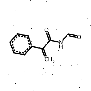 C=C(C(=O)NC=O)c1ccccc1